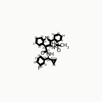 CS(=O)(=O)Nc1c(-c2ccccc2)nc2ccccc2c1C(=O)N[C@H](c1cccc(F)c1)C1CC1